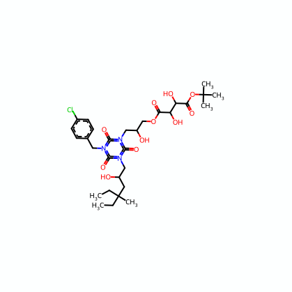 CCC(C)(CC)CC(O)Cn1c(=O)n(Cc2ccc(Cl)cc2)c(=O)n(CC(O)COC(=O)C(O)C(O)C(=O)OC(C)(C)C)c1=O